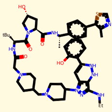 CCNc1nn(C2CCN(CC3CCN(CC(=O)N[C@H](C(=O)N4C[C@H](O)C[C@H]4C(=O)N[C@@H](C)c4ccc(-c5scnc5C)cc4)C(C)(C)C)CC3)CC2)c2c1NNC(c1ccccc1O)=C2